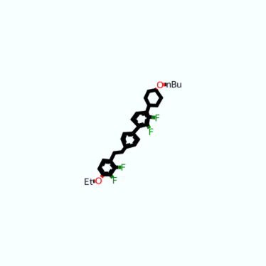 CCCCOC1CCC(c2ccc(-c3ccc(CCc4ccc(OCC)c(F)c4F)cc3)c(F)c2F)CC1